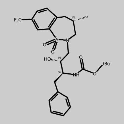 C[C@H]1Cc2ccc(C(F)(F)F)cc2S(=O)(=O)N(C[C@@H](O)[C@H](Cc2ccccc2)NC(=O)OC(C)(C)C)C1